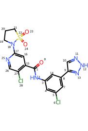 O=C(Nc1cc(Cl)cc(-c2cn[nH]n2)c1)c1cc(N2CCCS2(=O)=O)ncc1Cl